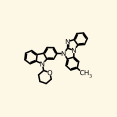 Cc1ccc2c(c1)n1c3ccccc3nc1n2-c1ccc2c3ccccc3n(C3CCCCO3)c2c1